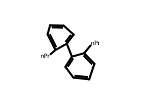 C[CH]Cc1ccccc1-c1ccccc1C[CH]C